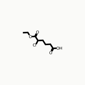 CCOC(=O)C(Cl)CCCC(=O)O